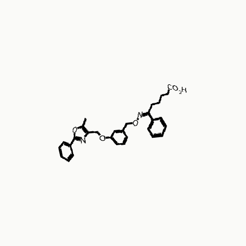 Cc1oc(-c2ccccc2)nc1COc1cccc(CON=C(CCCCC(=O)O)c2ccccc2)c1